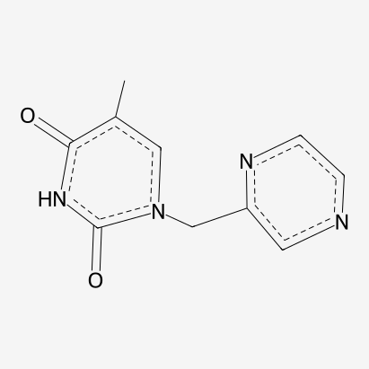 Cc1cn(Cc2cnccn2)c(=O)[nH]c1=O